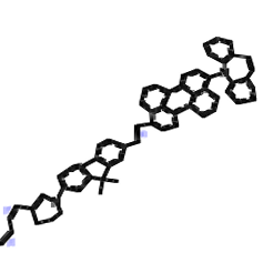 C/C=C\C=C/C1=CN(c2ccc3c(c2)C(C)(C)c2cc(/C=C/c4ccc5c6cccc7c(N8c9ccccc9C=Cc9ccccc98)ccc(c8cccc4c58)c76)ccc2-3)CCC1